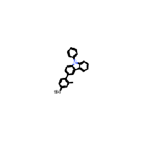 Cc1cc(C(C)(C)C)ccc1-c1ccc2c(c1)c1ccccc1n2-c1ccccc1